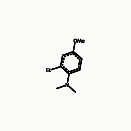 CCc1cc(OC)ccc1N(C)C